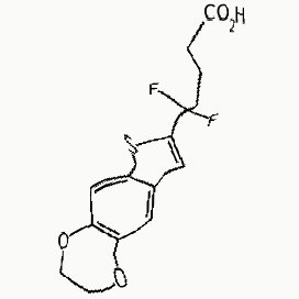 O=C(O)CCC(F)(F)c1cc2cc3c(cc2s1)OCCO3